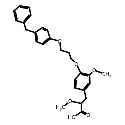 COc1cc(CC(OC)C(=O)O)ccc1OCCCOc1ccc(Cc2ccccc2)cc1